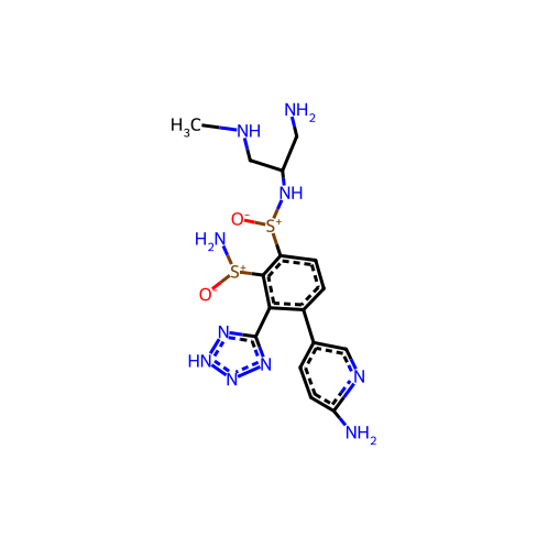 CNCC(CN)N[S+]([O-])c1ccc(-c2ccc(N)nc2)c(-c2nn[nH]n2)c1[S+](N)[O-]